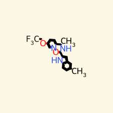 Cc1ccc2[nH]c(C(=O)NC(C)c3ccc(OCC(F)(F)F)cn3)cc2c1